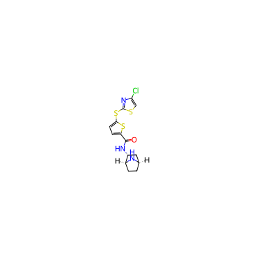 O=C(N[C@@H]1C[C@H]2CC[C@@H]1N2)c1ccc(Sc2nc(Cl)cs2)s1